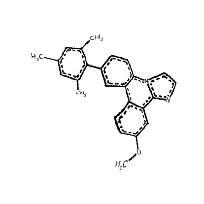 COc1ccc2c3cc(-c4c(C)cc(C)cc4C)ccc3n3ccnc3c2c1